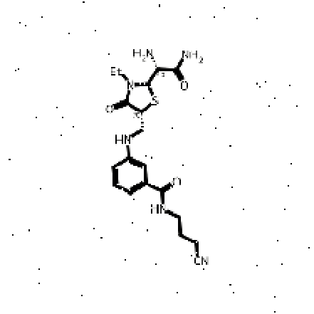 CCN1C(=O)[C@@H](CNc2cccc(C(=O)NCCCC#N)c2)SC1[C@H](N)C(N)=O